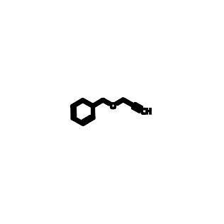 C#CCOCC1C=CC=CC1